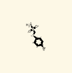 NS(=O)(=O)CSc1ccc(Br)cc1